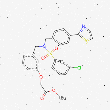 CC(C)(C)OC(=O)COc1cccc(CN(Cc2ccc(-c3nccs3)cc2)S(=O)(=O)c2cccc(Cl)c2)c1